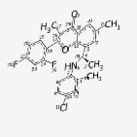 Cc1cc([C@@H](C)Nc2ccc(Cl)nc2C)c2oc(-c3ccc(F)cc3F)c(C)c(=O)c2c1